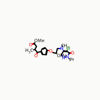 COC(=O)CC(C)C(=O)c1ccc(OCC(CN(C)c2cnn(C(C)C)c(=O)c2Cl)OC)cc1